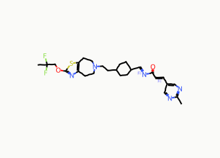 Cc1ncc(/C=C/C(=O)/N=C/C2CCC(CCN3CCc4nc(OCC(C)(F)F)sc4CC3)CC2)cn1